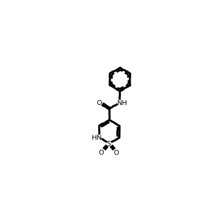 O=C(Nc1ccccc1)C1=CNS(=O)(=O)C=C1